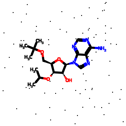 CC(C)O[C@H]1[C@@H](O)[C@H](n2cnc3c(N)ncnc32)O[C@@H]1COC(C)(C)C